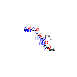 COC(=O)c1cc(NC(=O)c2nc(NC(=O)CCNC(=O)c3cc(NC(=O)c4nccn4C)cn3C)cn2CC(F)(F)F)cn1C